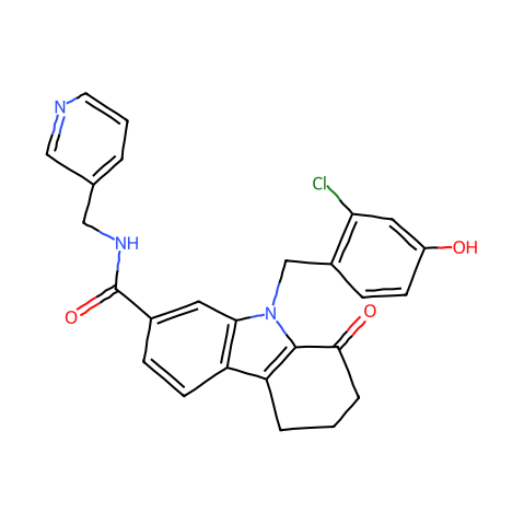 O=C(NCc1cccnc1)c1ccc2c3c(n(Cc4ccc(O)cc4Cl)c2c1)C(=O)CCC3